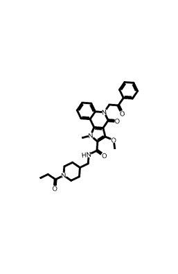 CCC(=O)N1CCC(CNC(=O)c2c(OC)c3c(=O)n(CC(=O)c4ccccc4)c4ccccc4c3n2C)CC1